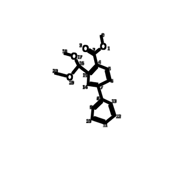 COC(=O)c1ccc(-c2ccccc2)cc1C(OC)OC